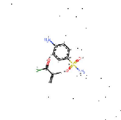 C=C(C)C(=O)Cl.Nc1ccc(S(N)(=O)=O)cc1